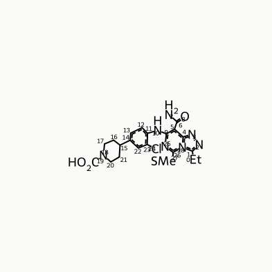 CCc1nnc2c(C(N)=O)c(Nc3ccc(C4CCN(C(=O)O)CC4)cc3Cl)nc(SC)n12